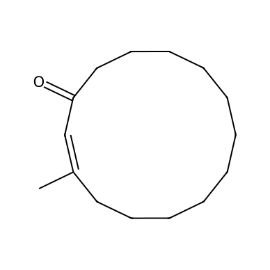 CC1=CC(=O)CCCCCCCCCCC1